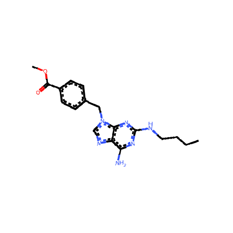 CCCCNc1nc(N)c2ncn(Cc3ccc(C(=O)OC)cc3)c2n1